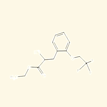 CCOC(=O)C(O)Cc1ccccc1OCC(F)(F)F